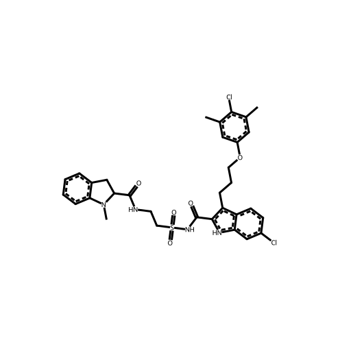 Cc1cc(OCCCc2c(C(=O)NS(=O)(=O)CCNC(=O)C3Cc4ccccc4N3C)[nH]c3cc(Cl)ccc23)cc(C)c1Cl